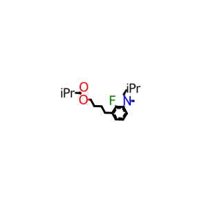 CC(C)CN(C)c1cccc(CCCCOC(=O)C(C)C)c1F